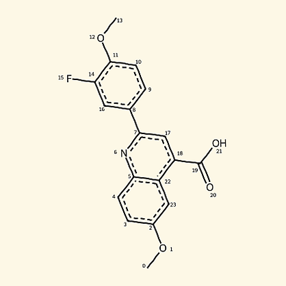 COc1ccc2nc(-c3ccc(OC)c(F)c3)cc(C(=O)O)c2c1